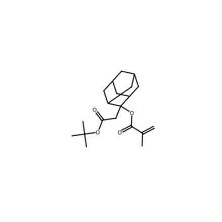 C=C(C)C(=O)OC1(CC(=O)OC(C)(C)C)C2CC3CC(C2)CC1C3